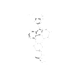 Cc1nc(-c2c3n(c4c(N5CCN(CC(N)=O)CC5)ncnc24)CCCC3)sc1C